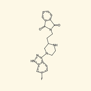 O=C1c2ccccc2C(=O)N1CCC1CN(c2n[nH]c3cc(F)ccc23)CCN1